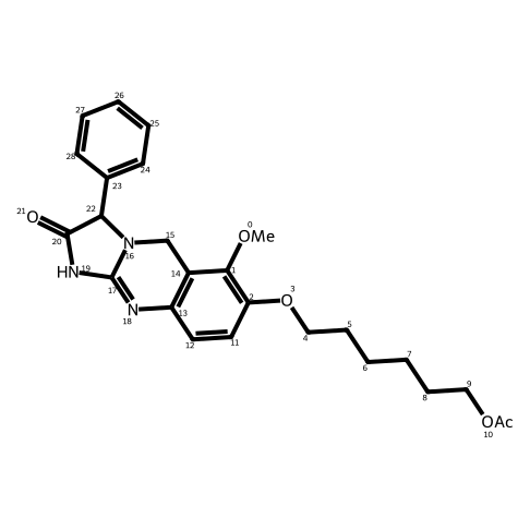 COc1c(OCCCCCCOC(C)=O)ccc2c1CN1C(=N2)NC(=O)C1c1ccccc1